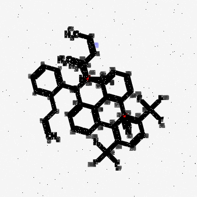 C=CCc1ccccc1N(c1cccc(-c2cc(C(F)(F)F)ccc2C(F)(F)F)c1-c1c(C#N)cccc1NC(=C)/C=C\C)C(C)C